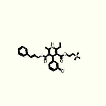 CCC1=C(C(=O)OCC[Si](C)(C)C)C(c2cccc(Cl)c2)C(C(=O)OCC=Cc2ccccc2)=C(C)N1